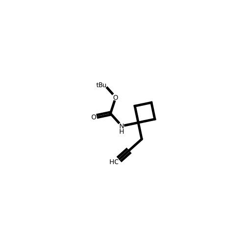 C#CCC1(NC(=O)OC(C)(C)C)CCC1